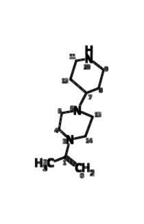 C=C(C)N1CCN(C2CCNCC2)CC1